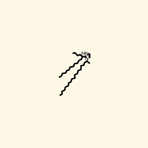 CCCCCCCCCCCCCCCCCC(C)[n+]1cc[nH]c1C(CCCC)CCCCCCCCCCCC